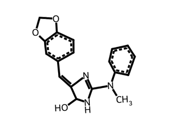 CN(C1=N/C(=C\c2ccc3c(c2)OCO3)C(O)N1)c1ccccc1